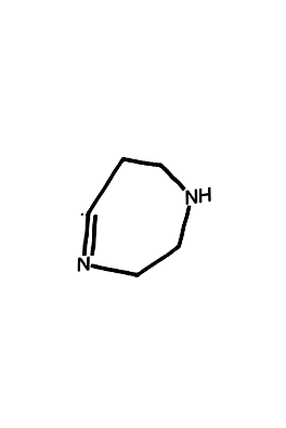 [C]1=NCCNCC1